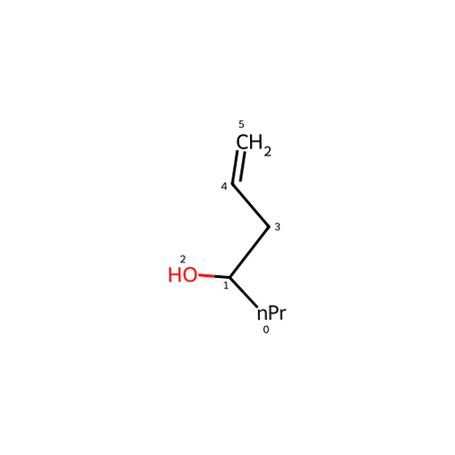 [CH2]CCC(O)CC=C